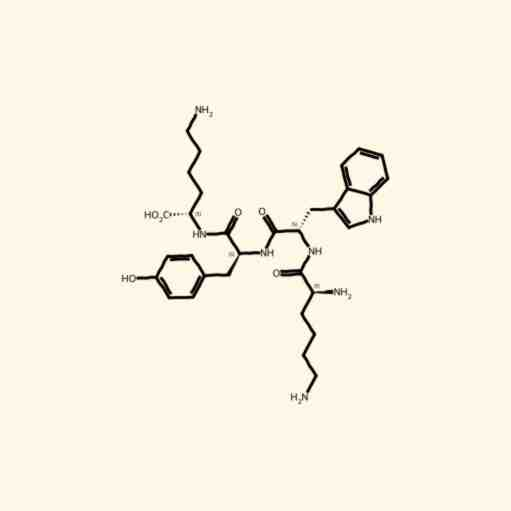 NCCCC[C@H](NC(=O)[C@H](Cc1ccc(O)cc1)NC(=O)[C@H](Cc1c[nH]c2ccccc12)NC(=O)[C@@H](N)CCCCN)C(=O)O